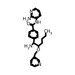 CCCCC(OCc1cccnc1)C(N)c1ccc(C(=O)Nc2cccnc2N)cc1